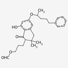 CC(CCCc1ccccc1)Oc1cc(O)c2c(c1)CC(C)(C)C(CCCOC=O)C2=O